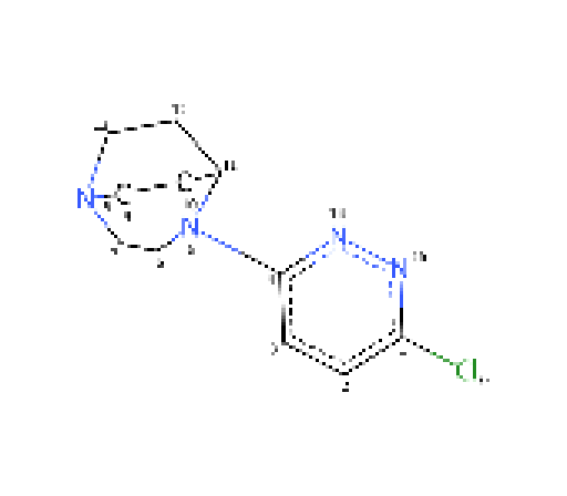 Clc1ccc(N2CCN3CCC2CC3)nn1